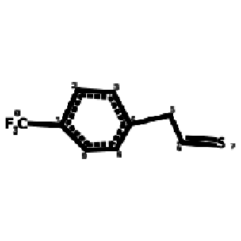 FC(F)(F)c1ccc(C[C]=S)cc1